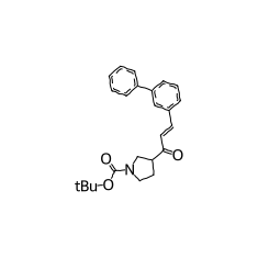 CC(C)(C)OC(=O)N1CCC(C(=O)C=Cc2cccc(-c3ccccc3)c2)C1